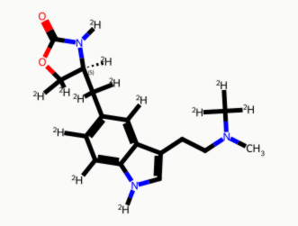 [2H]c1c(C([2H])([2H])[C@]2([2H])N([2H])C(=O)OC2([2H])[2H])c([2H])c2c(CCN(C)C([2H])([2H])[2H])cn([2H])c2c1[2H]